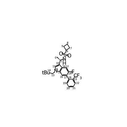 C[C@@H](NS(=O)(=O)C1CCC1)c1cn(CC(C)(C)C)c2cc(-c3ccccc3C(F)(F)F)c(F)cc12